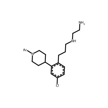 CC(=O)N1CCC(c2cc(Cl)ccc2CCCNCCN)CC1